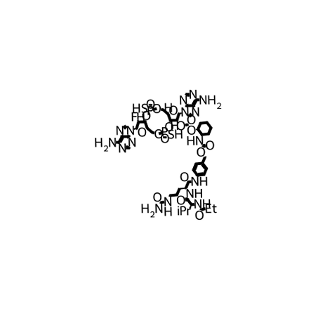 CCC(=O)N[C@H](C(=O)N[C@@H](CCCNC(N)=O)C(=O)Nc1ccc(COC(=O)N[C@@H]2CCCC[C@H]2OC(=O)O[C@@H]2[C@@H]3O[P@](=O)(S)OCC4O[C@@H](n5cnc6c(N)ncnc65)[C@H](F)[C@@H]4O[P@](=O)(S)OC[C@H]3O[C@H]2n2cnc3c(N)ncnc32)cc1)C(C)C